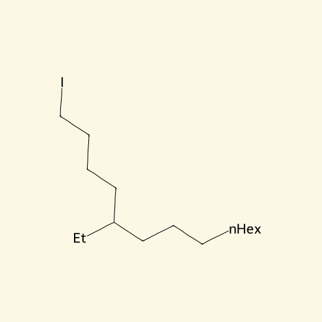 CCCCCCCCCC(CC)CCCCI